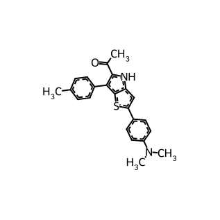 CC(=O)c1[nH]c2cc(-c3ccc(N(C)C)cc3)sc2c1-c1ccc(C)cc1